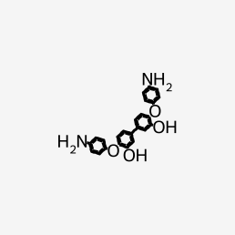 Nc1ccc(Oc2ccc(-c3ccc(Oc4ccc(N)cc4)c(O)c3)cc2O)cc1